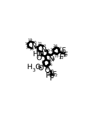 COc1cc2c(C(=O)O)c(CN3CCC(N4CCCCC4)CC3)c(-c3cccc(C(F)(F)F)c3)nc2cc1OCC(F)(F)F